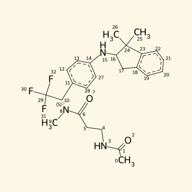 CC(=O)NCCC(=O)N(C)[C@@H](c1ccc(NC2Cc3ccccc3C2(C)C)cc1)C(F)(F)F